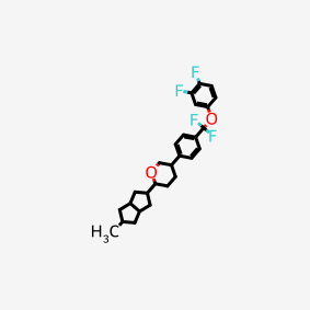 CC1CC2CC(C3CCC(c4ccc(C(F)(F)Oc5ccc(F)c(F)c5)cc4)CO3)CC2C1